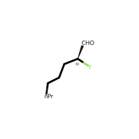 CCCCCC[C@H](F)C=O